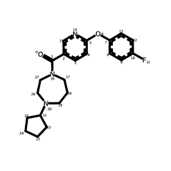 O=C(c1ccc(Oc2ccc(F)cc2)nc1)N1CCCN(C2CCCC2)CC1